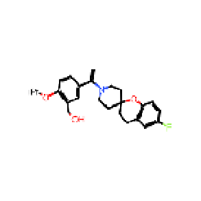 C=C(c1ccc(OC(C)C)c(CO)c1)N1CCC2(CCc3cc(F)ccc3O2)CC1